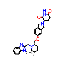 Cn1c(CN2CCCC[C@@H]2COc2ccc3c(c2)CN(C2CCC(=O)NC2=O)C3)nc2ccccc21